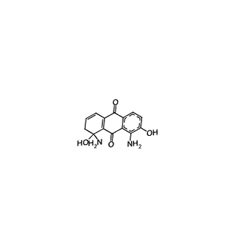 Nc1c(O)ccc2c1C(=O)C1=C(C=CCC1(N)O)C2=O